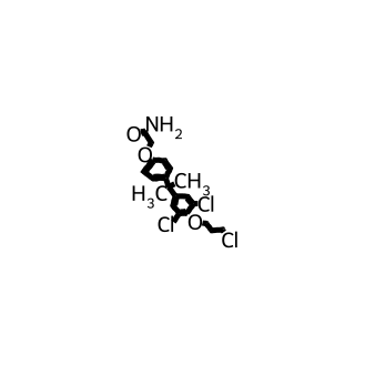 CC(C)(c1ccc(OCC(N)=O)cc1)c1cc(Cl)c(OCCCCl)c(Cl)c1